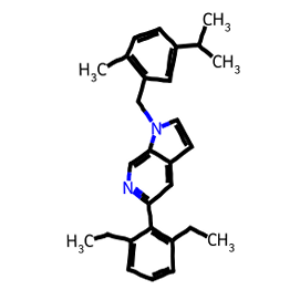 CCc1cccc(CC)c1-c1cc2ccn(Cc3cc(C(C)C)ccc3C)c2cn1